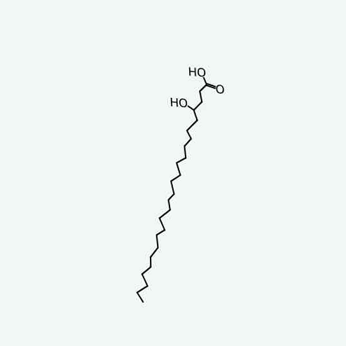 CCCCCCCCCCCCCCCCCCCCCC(O)CCC(=O)O